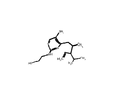 C=CC(C(C)C)C(C)Cc1nc(NCCO)ncc1N